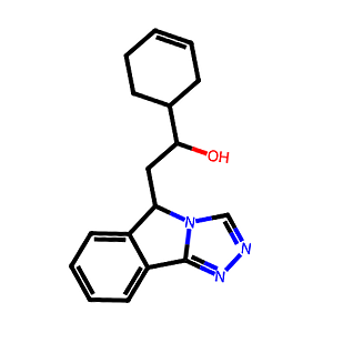 OC(CC1c2ccccc2-c2nncn21)C1CC=CCC1